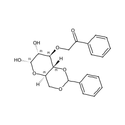 O=C(CO[C@@H]1[C@@H](O)[C@@H](O)O[C@@H]2COC(c3ccccc3)O[C@@H]12)c1ccccc1